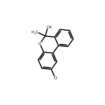 CC1(C#N)Oc2ccc(Cl)cc2-c2ccccc21